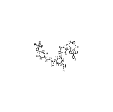 COC(=O)OC1(c2cccc(-c3cc(NCCc4ccc(OC(F)(F)F)cc4)nc(OC)n3)c2)CCOCC1